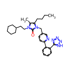 CCCCc1c(C)n(CCC2CCCCC2)c(=O)n1Cc1ccc(-c2ccccc2-c2nnn[nH]2)nc1